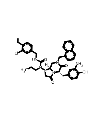 CCCN(C(=O)NCc1ccc(CI)c(Cl)c1)N1CC(=O)N2[C@@H](Cc3ccc(O)c(N)c3)C(=O)N(Cc3cccc4ccccc34)C[C@@H]21